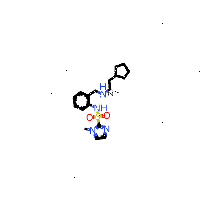 C[C@@H](CC1CCCC1)NCc1ccccc1NS(=O)(=O)c1nccn1C